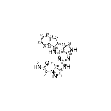 CNC(=O)C(C)n1ncc(Nc2nc(N[C@@H]3CCc4ccccc43)c3cc[nH]c3n2)c1C